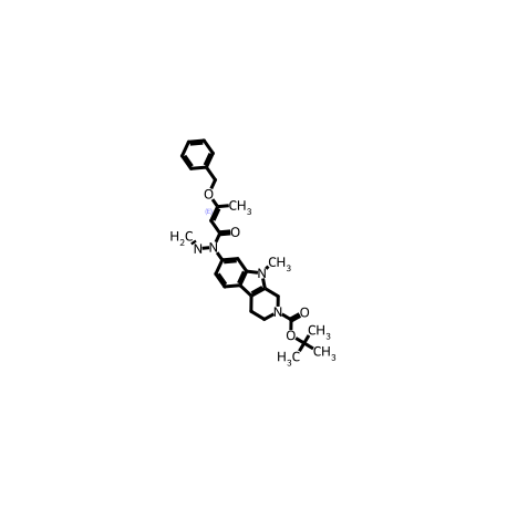 C=NN(C(=O)/C=C(\C)OCc1ccccc1)c1ccc2c3c(n(C)c2c1)CN(C(=O)OC(C)(C)C)CC3